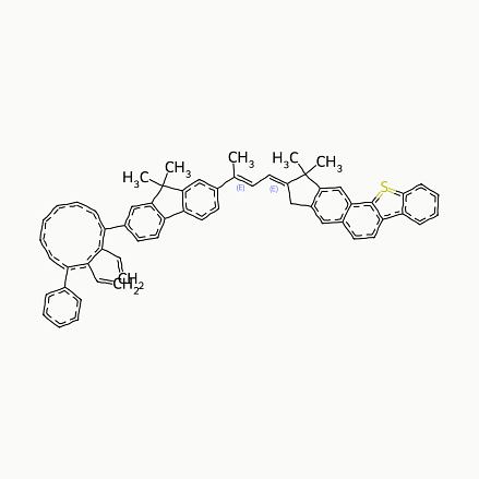 C=Cc1c(-c2ccccc2)ccccccc(-c2ccc3c(c2)C(C)(C)c2cc(/C(C)=C/C=C4\Cc5cc6ccc7c8ccccc8sc7c6cc5C4(C)C)ccc2-3)c1C=C